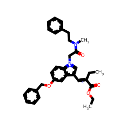 CCOC(=O)/C(=C/c1cn(CC(=O)N(C)CCc2ccccc2)c2ccc(OCc3ccccc3)cc12)CC